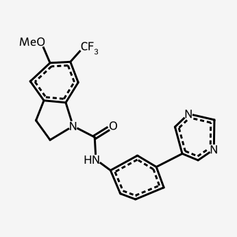 COc1cc2c(cc1C(F)(F)F)N(C(=O)Nc1cccc(-c3cncnc3)c1)CC2